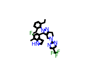 CCc1cccc(CC)c1-n1nc2c(c1-c1cc(F)c(C)c3[nH]ccc13)CN(c1ncc(C(F)(F)F)cn1)CC2